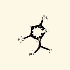 Cc1cc(C)n(C(O)C(C)C)n1